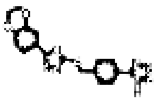 c1cc(-c2nnn[nH]2)ccc1CSc1nnc(-c2ccc3c(c2)OCCO3)o1